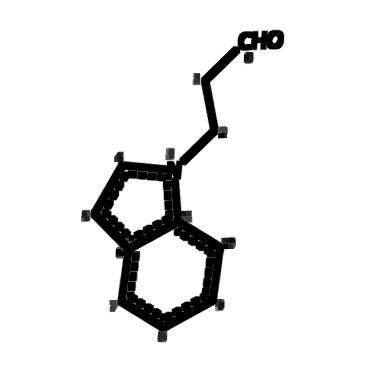 O=CCCn1ccc2ccccc21